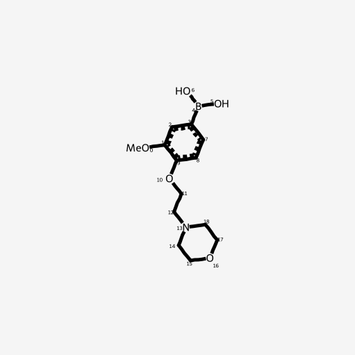 COc1cc(B(O)O)ccc1OCCN1CCOCC1